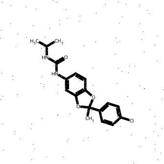 CC(C)NC(=O)Nc1ccc2c(c1)OC(C)(c1ccc(Cl)cc1)O2